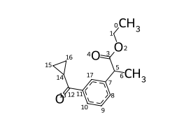 CCOC(=O)C(C)c1cccc(C(=O)C2CC2)c1